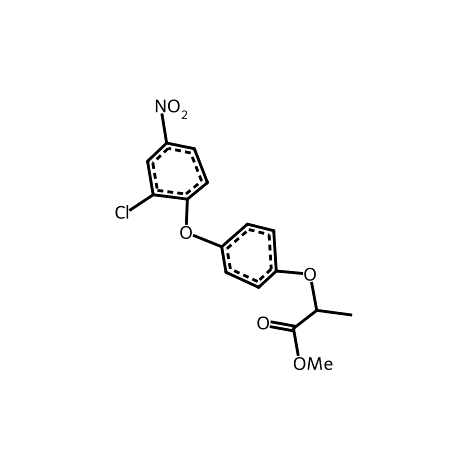 COC(=O)C(C)Oc1ccc(Oc2ccc([N+](=O)[O-])cc2Cl)cc1